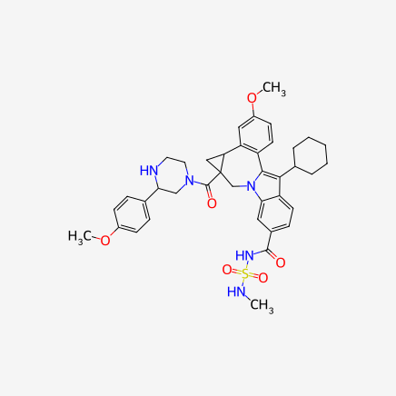 CNS(=O)(=O)NC(=O)c1ccc2c(C3CCCCC3)c3n(c2c1)CC1(C(=O)N2CCNC(c4ccc(OC)cc4)C2)CC1c1cc(OC)ccc1-3